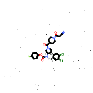 CN(C(=O)Oc1ccc(F)cc1)[C@@H]1CN(C(=O)C2CCN(C(=O)CC#N)CC2)C[C@H]1c1ccc(Cl)c(Cl)c1